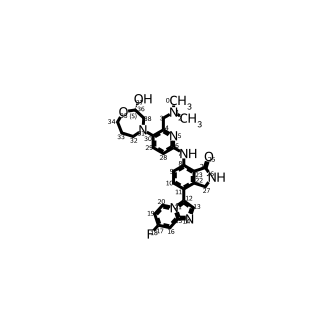 CN(C)Cc1nc(Nc2ccc(-c3cnc4cc(F)ccn34)c3c2C(=O)NC3)ccc1N1CCCO[C@H](O)C1